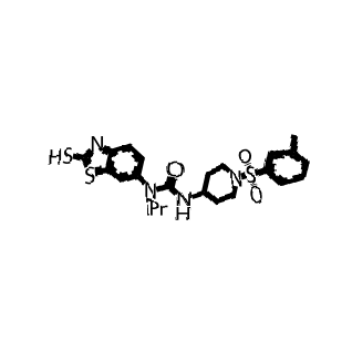 Cc1cccc(S(=O)(=O)N2CCC(NC(=O)N(c3ccc4nc(S)sc4c3)C(C)C)CC2)c1